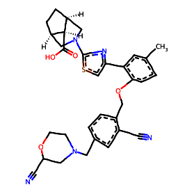 Cc1ccc(OCc2ccc(CN3CCOC(C#N)C3)cc2C#N)c(-c2csc(N3C[C@H]4CC[C@@H](C3)[C@H]4C(=O)O)n2)c1